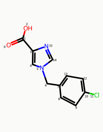 O=C(O)c1cn(Cc2ccc(Cl)cc2)cn1